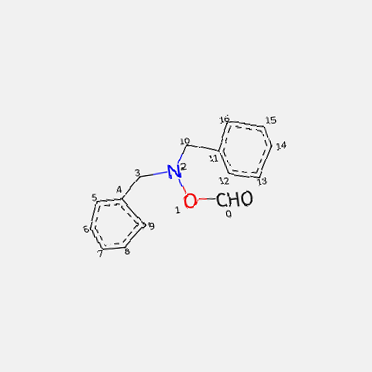 O=CON(Cc1ccccc1)Cc1ccccc1